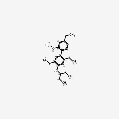 CCc1ccc(-c2nc(CC)c(OC(CC)CC)nc2CC)c(OC)c1